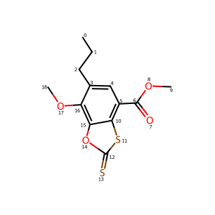 CCCc1cc(C(=O)OC)c2sc(=S)oc2c1OC